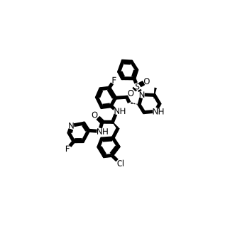 C[C@H]1CNC[C@H](CCc2c(F)cccc2N[C@@H](Cc2cccc(Cl)c2)C(=O)Nc2cncc(F)c2)N1S(=O)(=O)c1ccccc1